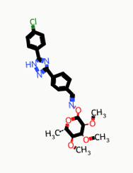 CO[C@@H]1[C@@H](OC)[C@H](C)O[C@@H](O/N=C/c2ccc(-c3n[nH]c(-c4ccc(Cl)cc4)n3)cc2)[C@@H]1OC